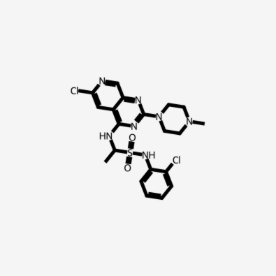 CC(Nc1nc(N2CCN(C)CC2)nc2cnc(Cl)cc12)S(=O)(=O)Nc1ccccc1Cl